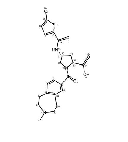 CN1CCc2ccc(C(=O)N3C[C@H](NC(=O)c4ccc(Cl)s4)C[C@H]3C(=O)O)cc2CC1